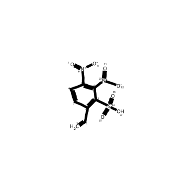 C=Cc1ccc([N+](=O)[O-])c([N+](=O)[O-])c1S(=O)(=O)O